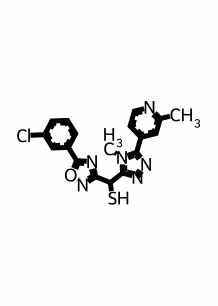 Cc1cc(-c2nnc(C(S)c3noc(-c4cccc(Cl)c4)n3)n2C)ccn1